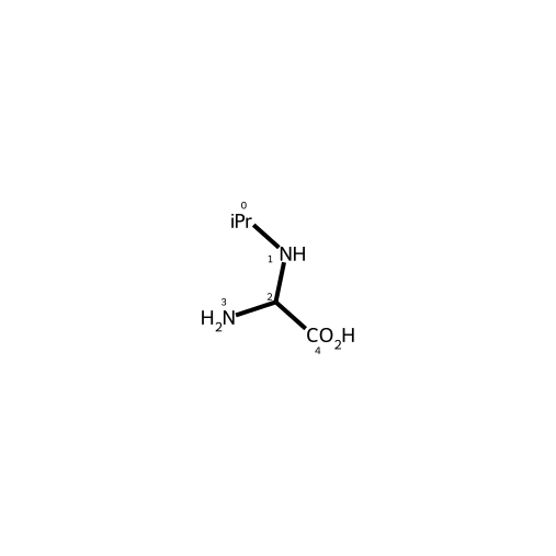 CC(C)NC(N)C(=O)O